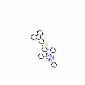 c1ccc(-c2nc(-c3ccccc3)nc(-c3ccccc3-c3cccc4c3sc3cc5c6ccccc6c6ccccc6c5cc34)n2)cc1